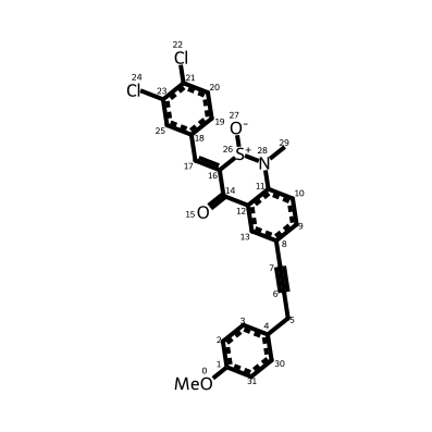 COc1ccc(CC#Cc2ccc3c(c2)C(=O)/C(=C/c2ccc(Cl)c(Cl)c2)[S+]([O-])N3C)cc1